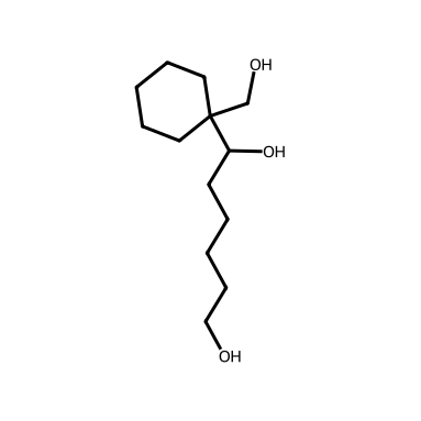 OCCCCCC(O)C1(CO)CCCCC1